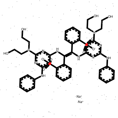 O=S(=O)([O-])c1ccccc1C(Nc1nc(Nc2ccccc2)nc(N(CCO)CCO)n1)=C(Nc1nc(Nc2ccccc2)nc(N(CCO)CCO)n1)c1ccccc1S(=O)(=O)[O-].[Na+].[Na+]